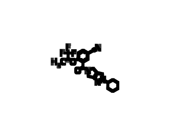 C[C@H](Oc1ccc(C#N)cc1C(=O)N1Cc2cn(C3CCCCC3)nc2C1)C(F)(F)F